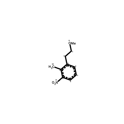 COCCc1cccc([N+](=O)[O-])c1C